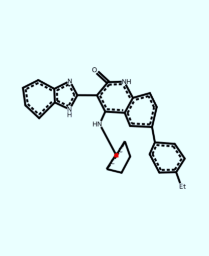 CCc1ccc(-c2ccc3[nH]c(=O)c(-c4nc5ccccc5[nH]4)c(NC4CC5CCC4CC5)c3c2)cc1